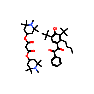 CCCCc1c(C(=O)C(=O)c2ccccc2)cc(C(C)(C)C)c(O)c1C(C)(C)C.CN1C(C)(C)CC(OC(=O)CC(=O)OC2CC(C)(C)N(C)C(C)(C)C2)CC1(C)C